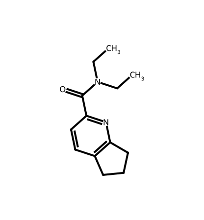 CCN(CC)C(=O)c1ccc2c(n1)CCC2